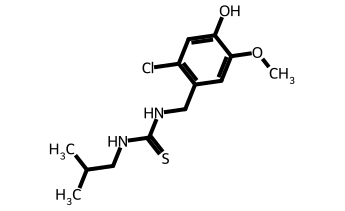 COc1cc(CNC(=S)NCC(C)C)c(Cl)cc1O